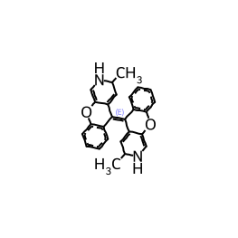 CC1C=C2C(=CN1)Oc1ccccc1/C2=C1\C2=CC(C)NC=C2Oc2ccccc21